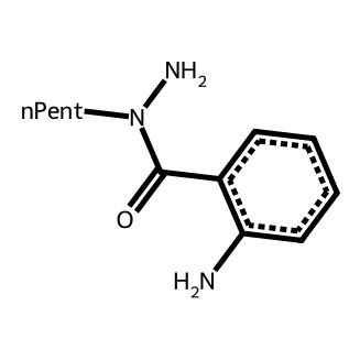 CCCCCN(N)C(=O)c1ccccc1N